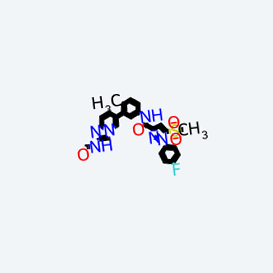 Cc1ccc(NC(=O)c2cc(S(C)(=O)=O)n(-c3ccc(F)cc3)n2)cc1-c1ccc2nc(NC=O)cn2c1